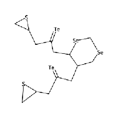 [Te]=C(CC1CS1)CC1C[Se]C[Se]C1CC(=[Te])CC1CS1